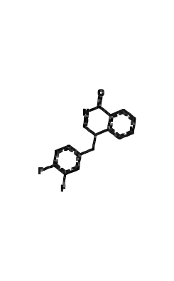 O=C1N=CC(Cc2ccc(F)c(F)c2)c2ccccc21